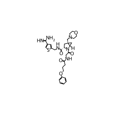 N=C(N)c1csc(CNC(=O)[C@@H]2C[C@]3(CN4CCOCC4)C[C@@H]3N2C(=O)CNC(=O)CCCOc2ccccc2)c1